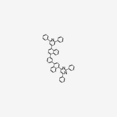 c1ccc(-c2cc(-c3ccc(-c4cccc(-c5ccc(-c6cc(-c7ccccc7)nc(-c7ccccc7)n6)c6ccccc56)c4)c4ccccc34)cc(-c3ccccc3)n2)cc1